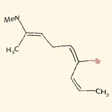 C/C=C\C(Br)=C/C/C=C(\C)NC